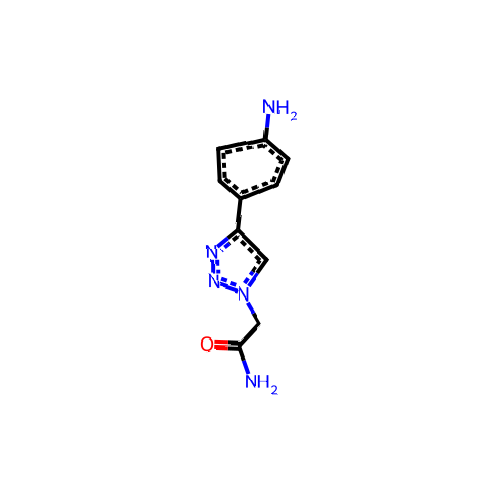 NC(=O)Cn1cc(-c2ccc(N)cc2)nn1